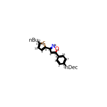 CCCCCCCCCCc1ccc(-c2cc(-c3ccc(CCCC)s3)no2)cc1